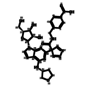 O=C(O)c1ccc(CNC(=O)C2(c3nc(N[C@@H]4CCOC4)c4ncn([C@@H]5O[C@H](CO)[C@@H](O)[C@@H]5O)c4n3)C=NN=N2)cc1